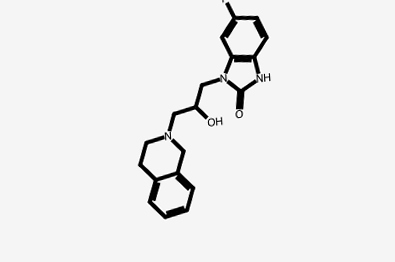 O=c1[nH]c2ccc(F)cc2n1CC(O)CN1CCc2ccccc2C1